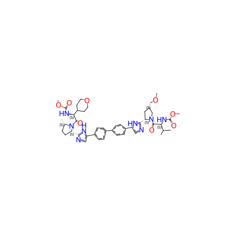 COC[C@H]1C[C@@H](c2ncc(-c3ccc(-c4ccc(-c5cnc([C@@H]6CC[C@H](C)N6C(=O)[C@@H](NC(=O)OC)C6CCOCC6)[nH]5)cc4)cc3)[nH]2)N(C(=O)[C@@H](NC(=O)OC)C(C)C)C1